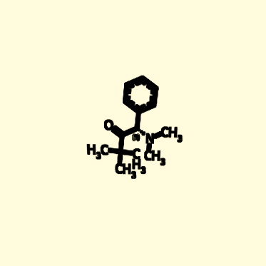 CN(C)[C@H](C(=O)C(C)(C)C)c1ccccc1